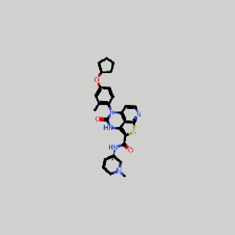 Cc1cc(OC2CCCC2)ccc1N1C(=O)Nc2c(C(=O)N[C@@H]3CCCN(C)C3)sc3nccc1c23